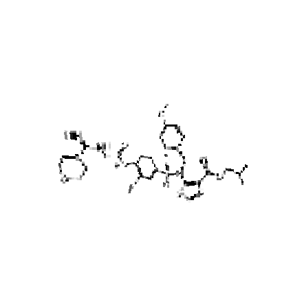 COc1ccc(CN(c2scnc2C(=O)OCC(C)C)S(=O)(=O)c2ccc(NC(=O)CNC(=N)N3CCOCC3)c(F)c2)cc1